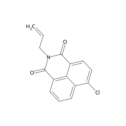 C=CCN1C(=O)c2cccc3c(Cl)ccc(c23)C1=O